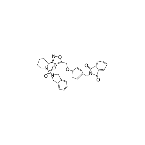 O=C1c2ccccc2C(=O)N1Cc1ccc(OCc2nc([C@@H]3CCCCN3S(=O)(=O)N3Cc4ccccc4C3)no2)cc1